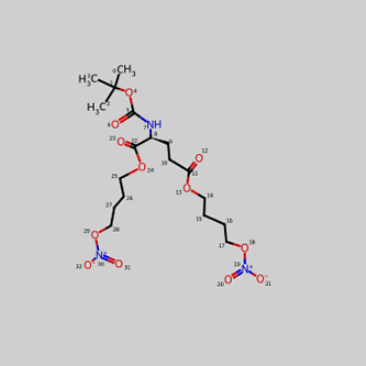 CC(C)(C)OC(=O)N[C@@H](CCC(=O)OCCCCO[N+](=O)[O-])C(=O)OCCCCO[N+](=O)[O-]